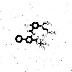 CCN(CCN(C)C)c1ccc(C)c(C(=O)Nc2cc(-c3ccccc3)ccc2C(=O)OC(C)(C)C)c1